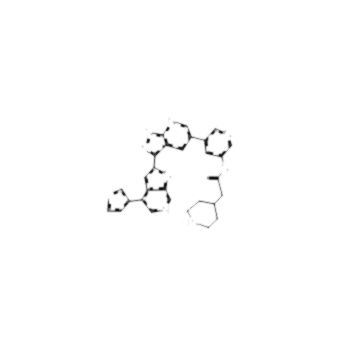 O=C(CC1CCNCC1)Nc1cncc(-c2cnc3[nH]nc(-c4cc5c(-c6ccsc6)cncc5[nH]4)c3c2)c1